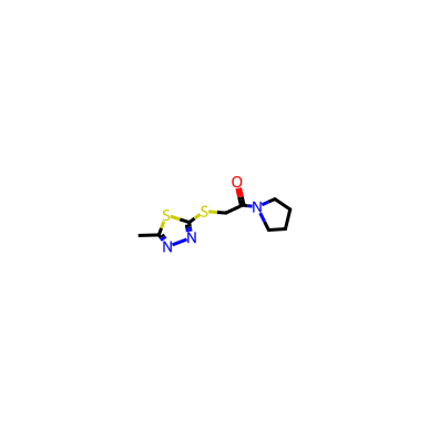 Cc1nnc(SCC(=O)N2CCCC2)s1